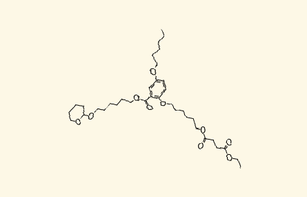 CCCCCCOc1ccc(OCCCCCCOC(=O)CCC(=O)OCC)c(C(=O)OCCCCCCOC2CCCCO2)c1